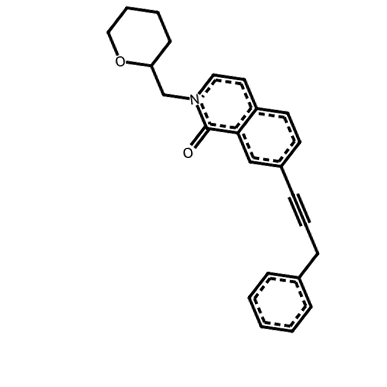 O=c1c2cc(C#CCc3ccccc3)ccc2ccn1CC1CCCCO1